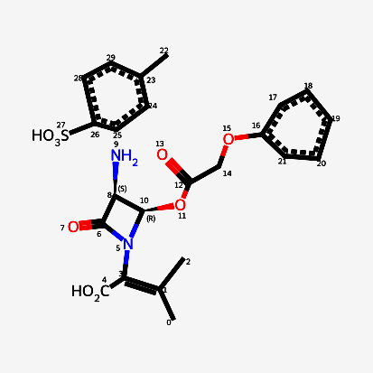 CC(C)=C(C(=O)O)N1C(=O)[C@@H](N)[C@H]1OC(=O)COc1ccccc1.Cc1ccc(S(=O)(=O)O)cc1